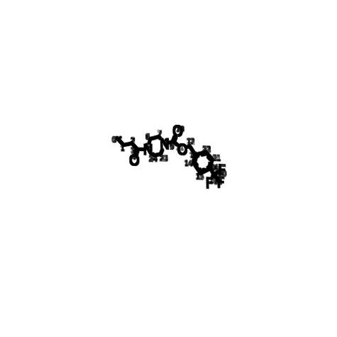 [CH2]CCC(=O)N1CCN(C(=O)OCc2ccc(C(F)(F)F)cc2)CC1